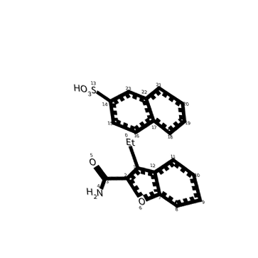 CCc1c(C(N)=O)oc2ccccc12.O=S(=O)(O)c1ccc2ccccc2c1